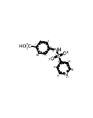 O=C(O)c1ccc(NS(=O)(=O)c2ccncc2)cc1